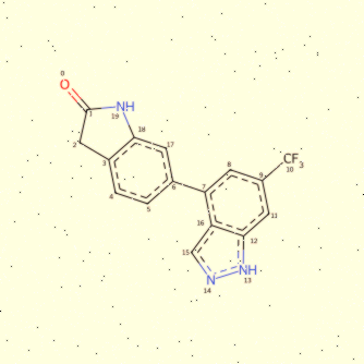 O=C1Cc2ccc(-c3cc(C(F)(F)F)cc4[nH]ncc34)cc2N1